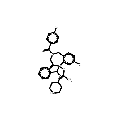 O=C(c1ccc(Cl)cc1)N1CC(=O)[N+](OC(=O)C(F)(F)F)(C(OC2CCNCC2)c2ccccc2)c2cc(Cl)ccc2C1